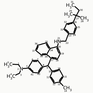 CCN(CC)c1ccc(C(c2ccc(C)cc2)c2ccc(NCc3ccc(C(C)(C)CC)cc3)c3ccccc23)cc1